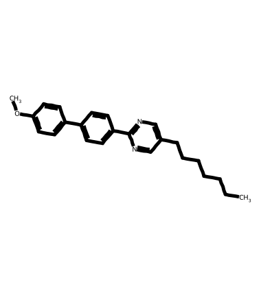 CCCCCCCc1cnc(-c2ccc(-c3ccc(OC)cc3)cc2)nc1